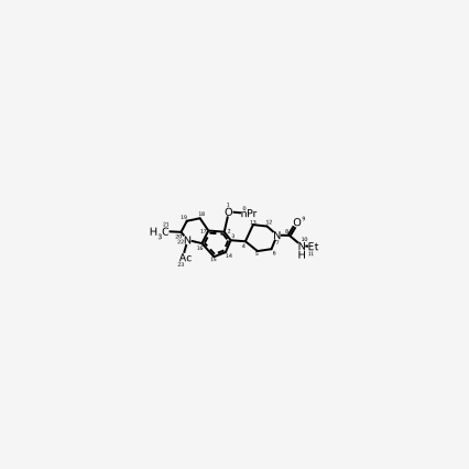 CCCOc1c(C2CCN(C(=O)NCC)CC2)ccc2c1CCC(C)N2C(C)=O